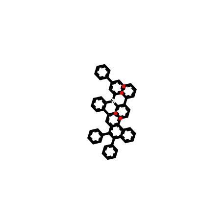 c1ccc(-c2cccc(N(c3ccccc3-c3ccccc3)c3ccccc3-c3ccc4c(c3)c(-c3ccccc3)c(-c3ccccc3)c3ccccc34)c2)cc1